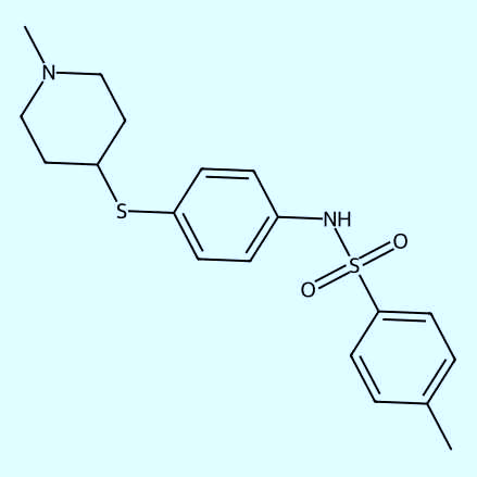 Cc1ccc(S(=O)(=O)Nc2ccc(SC3CCN(C)CC3)cc2)cc1